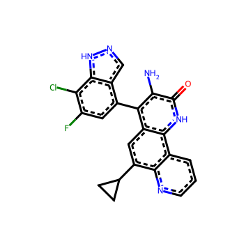 Nc1c(-c2cc(F)c(Cl)c3[nH]ncc23)c2cc(C3CC3)c3ncccc3c2[nH]c1=O